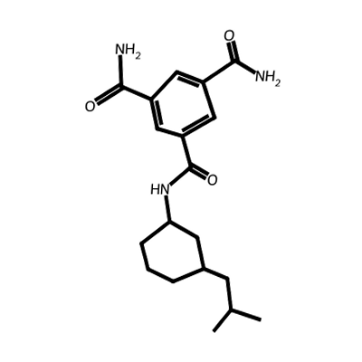 CC(C)CC1CCCC(NC(=O)c2cc(C(N)=O)cc(C(N)=O)c2)C1